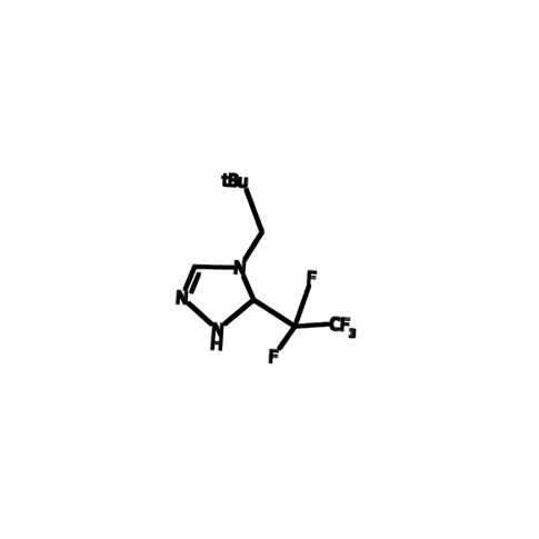 CC(C)(C)CN1C=NNC1C(F)(F)C(F)(F)F